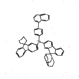 c1ccc2c(c1)-c1ccc(N(c3ccc(-c4cccc5ccccc45)cc3)c3ccc4c(c3)C3(c5ccccc5-4)C4CCC5CC3CC5C4)cc1C21CCCC1